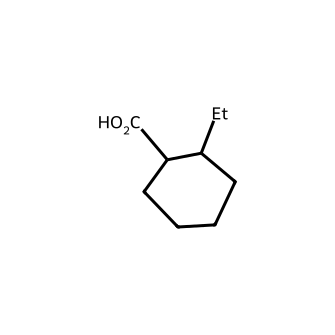 CCC1CCCCC1C(=O)O